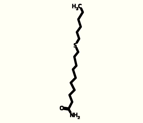 CCCCCCSCCCCCCCCCC(N)=O